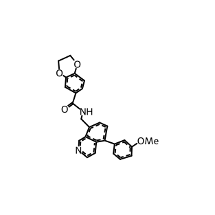 COc1cccc(-c2ccc(CNC(=O)c3ccc4c(c3)OCCO4)c3cnccc23)c1